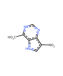 O=C(O)c1ncnc2c([N+](=O)[O-])c[nH]c12